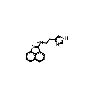 c1cc2c3c(cccc3c1)C(NCCc1c[nH]cn1)=N2